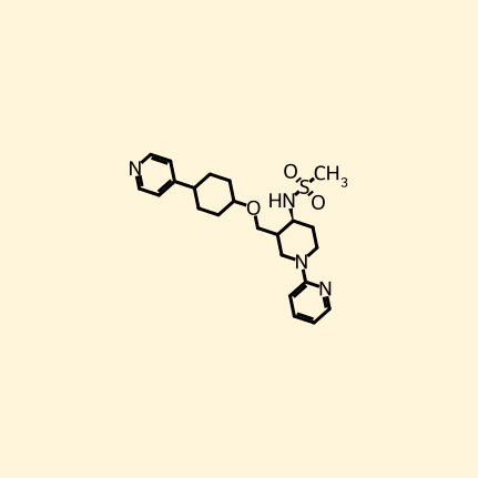 CS(=O)(=O)N[C@H]1CCN(c2ccccn2)CC1COC1CCC(c2ccncc2)CC1